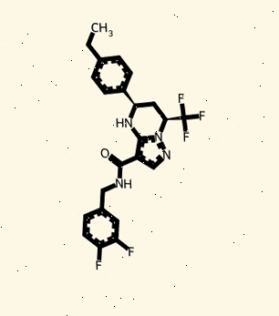 CCc1ccc([C@H]2C[C@@H](C(F)(F)F)n3ncc(C(=O)NCc4ccc(F)c(F)c4)c3N2)cc1